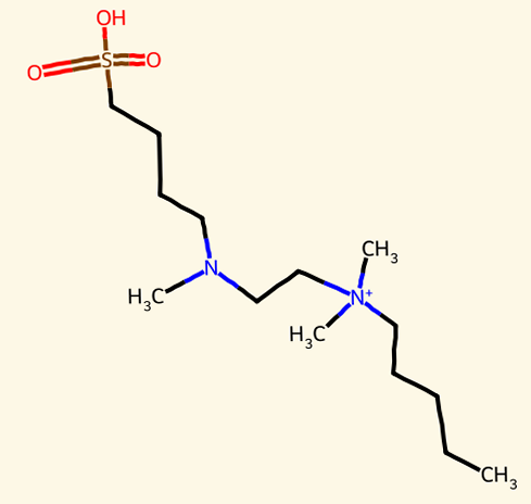 CCCCC[N+](C)(C)CCN(C)CCCCS(=O)(=O)O